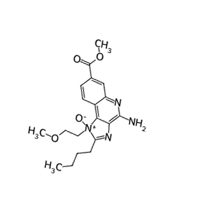 CCCCC1=Nc2c(N)nc3cc(C(=O)OC)ccc3c2[N+]1([O-])CCOC